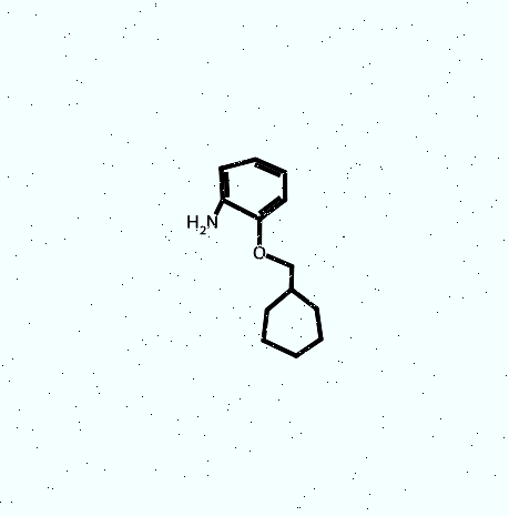 Nc1ccccc1OCC1CCCCC1